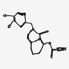 O=C(O)OC1CCCc2nn(Cc3ccc(Cl)c(Cl)c3)c(=O)n21